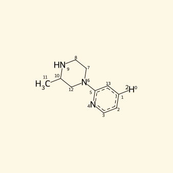 [2H]c1ccnc(N2CCNC(C)C2)c1